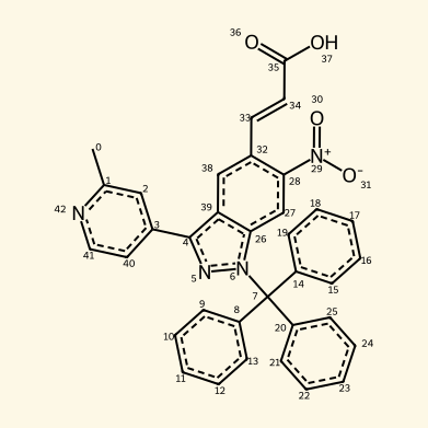 Cc1cc(-c2nn(C(c3ccccc3)(c3ccccc3)c3ccccc3)c3cc([N+](=O)[O-])c(/C=C/C(=O)O)cc23)ccn1